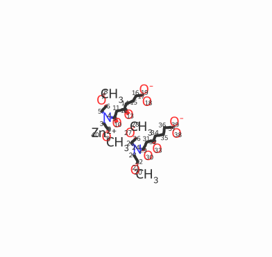 COCCN(CCOC)C(=O)CC(=O)CCCC(=O)[O-].COCCN(CCOC)C(=O)CC(=O)CCCC(=O)[O-].[Zn+2]